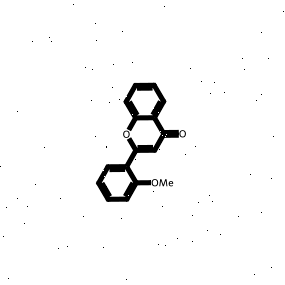 COc1ccccc1-c1cc(=O)c2ccccc2o1